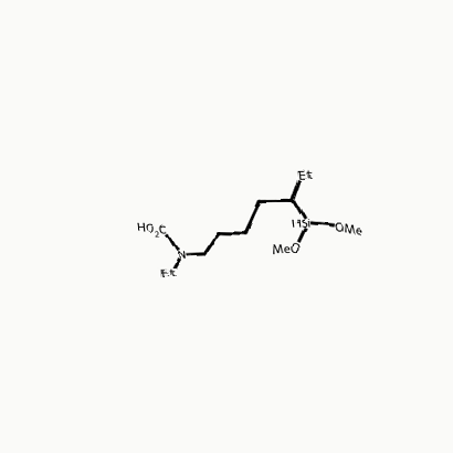 CCC(CCCCN(CC)C(=O)O)[SiH](OC)OC